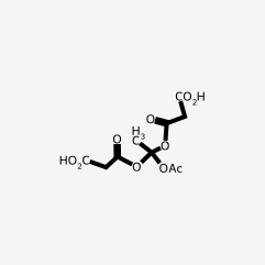 CC(=O)OC(C)(OC(=O)CC(=O)O)OC(=O)CC(=O)O